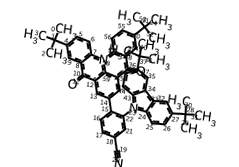 CC(C)(C)c1ccc2c(c1)c(=O)c1cc(-c3ccc(C#N)cc3-n3c4ccc(C(C)(C)C)cc4c4cc(C(C)(C)C)ccc43)cc3c(=O)c4cc(C(C)(C)C)ccc4n2c13